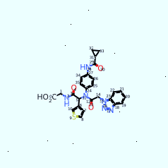 O=C(O)CNC(=O)C(c1ccsc1)N(C(=O)Cn1nnc2ccccc21)c1ccc(NC(=O)C2CC2)cc1